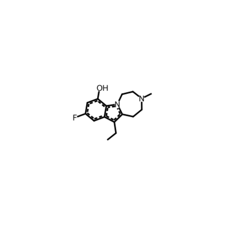 CCc1c2n(c3c(O)cc(F)cc13)CCN(C)CC2